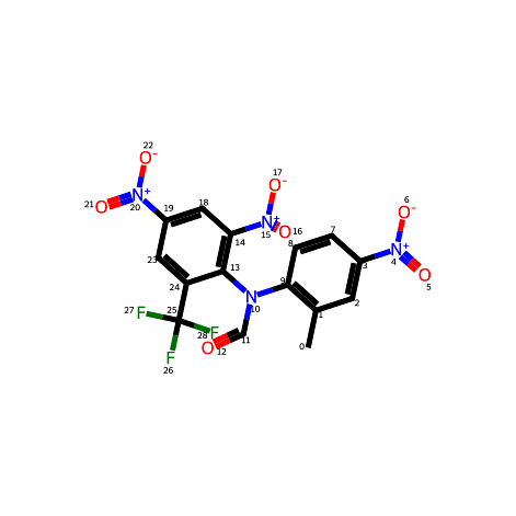 Cc1cc([N+](=O)[O-])ccc1N(C=O)c1c([N+](=O)[O-])cc([N+](=O)[O-])cc1C(F)(F)F